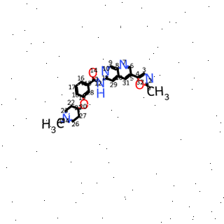 Cc1ncc(-c2cnc3cnc(NC(=O)c4cccc(OC5CCN(C)CC5)c4)cc3c2)o1